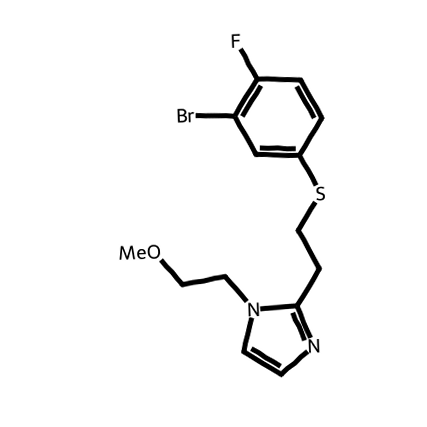 COCCn1ccnc1CCSc1ccc(F)c(Br)c1